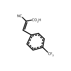 N#CC(=Cc1ccc(C(F)(F)F)cc1)C(=O)O